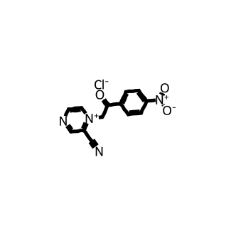 N#Cc1cncc[n+]1CC(=O)c1ccc([N+](=O)[O-])cc1.[Cl-]